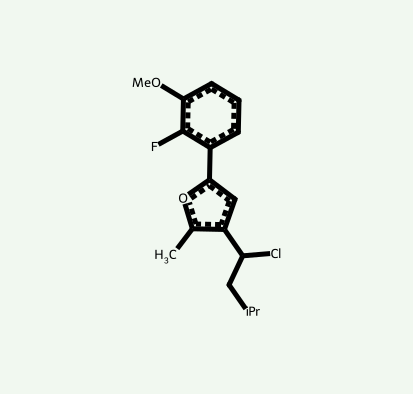 COc1cccc(-c2cc(C(Cl)CC(C)C)c(C)o2)c1F